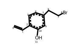 C=Cc1ccc(CCBr)cc1O